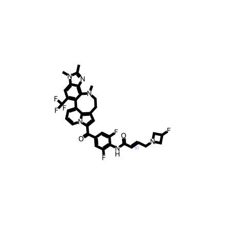 Cc1nc2c3c(c(C(F)(F)F)cc2n1C)-c1cccn2c(C(=O)c4cc(F)c(NC(=O)/C=C/CN5CC(F)C5)c(F)c4)cc(c12)CCN3C